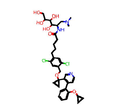 CN(C)CC(NC(=O)CCCCc1cc(Cl)c(COC2(c3cnccc3-c3ccccc3OC3CC3)CC2)cc1Cl)C(O)C(O)C(O)CO